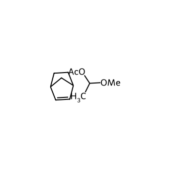 C1=CC2CCC1C2.COC(C)OC(C)=O